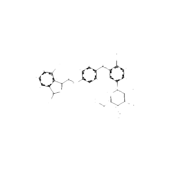 CC1OC(COc2ccc(Cc3cc([C@@H]4O[C@H](CO)[C@@H](O)[C@H](O)[C@H]4O)ccc3Cl)cc2)c2c(F)cccc21